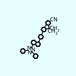 CC1(C)c2cc(C#N)ccc2-c2ccc(-c3ccc(-c4cccc5c(-c6nc(-c7ccccc7)nc(-c7ccccc7)n6)cccc45)cc3)cc21